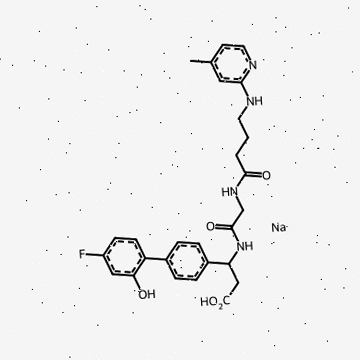 Cc1ccnc(NCCCC(=O)NCC(=O)NC(CC(=O)O)c2ccc(-c3ccc(F)cc3O)cc2)c1.[Na]